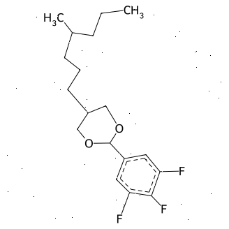 CCCC(C)CCCC1COC(c2cc(F)c(F)c(F)c2)OC1